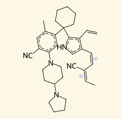 C=Cc1c(/C=C\C(C#N)=C/C)c[nH]c1C1(c2cc(N3CCC(N4CCCC4)CC3)c(C#N)cc2C)CCCCC1